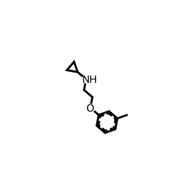 Cc1cccc(OCCNC2CC2)c1